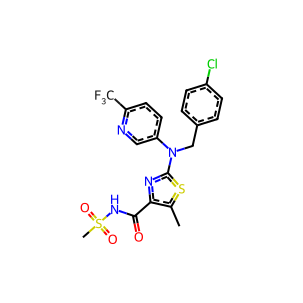 Cc1sc(N(Cc2ccc(Cl)cc2)c2ccc(C(F)(F)F)nc2)nc1C(=O)NS(C)(=O)=O